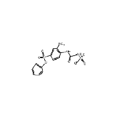 O=C(Nc1ccc(S(=O)(=O)Oc2ccccc2)cc1[N+](=O)[O-])NS(=O)(=O)Cl